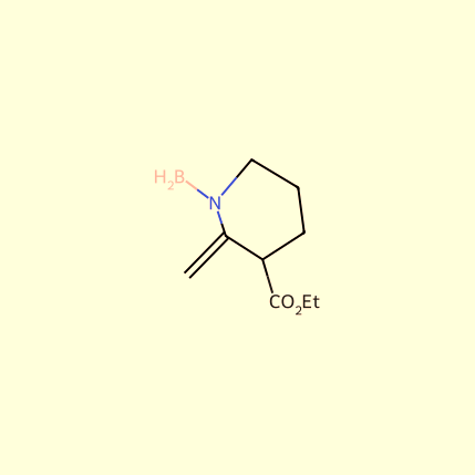 BN1CCCC(C(=O)OCC)C1=C